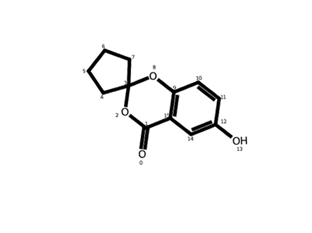 O=C1OC2(CCCC2)Oc2ccc(O)cc21